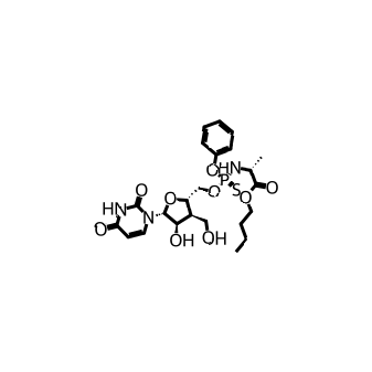 CCCCOC(=O)[C@@H](C)NP(=S)(OC[C@H]1O[C@@H](n2ccc(=O)[nH]c2=O)[C@H](O)[C@@H]1CO)Oc1ccccc1